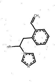 C=Cc1ccccc1CC(CCC)n1ccnc1